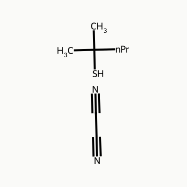 CCCC(C)(C)S.N#CC#N